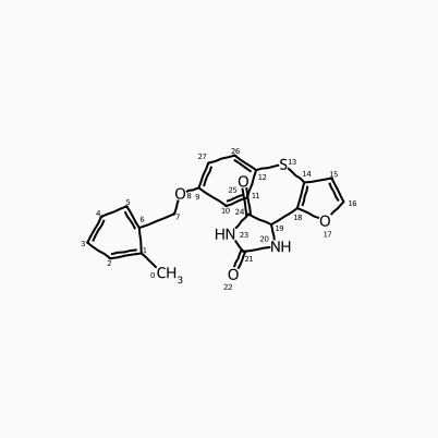 Cc1ccccc1COc1ccc(Sc2ccoc2C2NC(=O)NC2=O)cc1